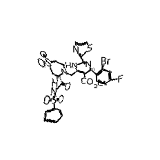 CCOC(=O)C1=C(CN2CCS(=O)(=O)C[C@H]2C(=O)NS(=O)(=O)c2ccccc2)NC(c2nccs2)=N[C@H]1c1ccc(F)cc1Br